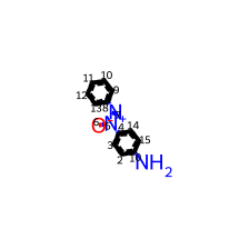 Nc1ccc([N+]([O-])=Nc2ccccc2)cc1